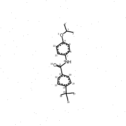 CC(C)Oc1ccc(NC(=O)c2ccc(C(C)(C)C)cc2)cc1